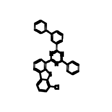 Clc1cccc2c1sc1c(-c3nc(-c4ccccc4)nc(-c4cccc(-c5ccccc5)c4)n3)cccc12